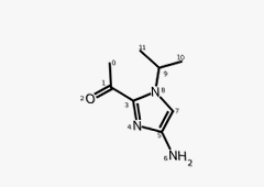 CC(=O)c1nc(N)cn1C(C)C